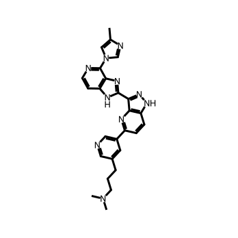 Cc1cn(-c2nccc3[nH]c(-c4n[nH]c5ccc(-c6cncc(CCCN(C)C)c6)nc45)nc23)cn1